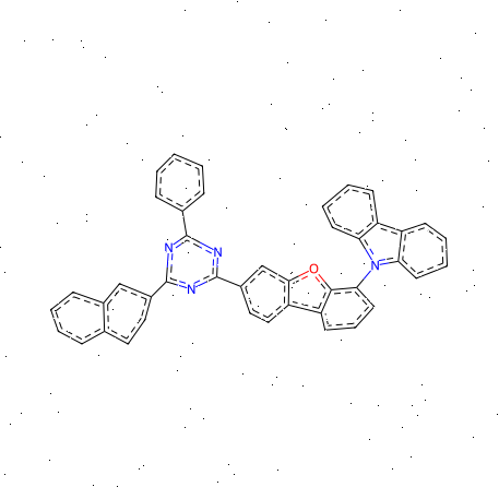 c1ccc(-c2nc(-c3ccc4ccccc4c3)nc(-c3ccc4c(c3)oc3c(-n5c6ccccc6c6ccccc65)cccc34)n2)cc1